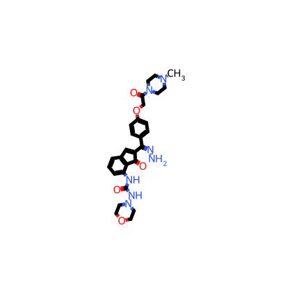 CN1CCN(C(=O)COc2ccc(/C(=N/N)C3=Cc4cccc(NC(=O)NN5CCOCC5)c4C3=O)cc2)CC1